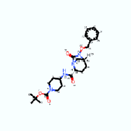 CC(C)(C)OC(=O)N1CCC(NC(=O)[C@H]2CC[C@@H]3CN2C(=O)N3OCc2ccccc2)CC1